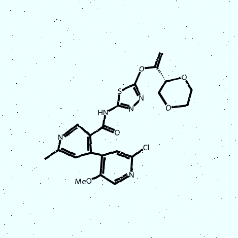 C=C(Oc1nnc(NC(=O)c2cnc(C)cc2-c2cc(Cl)ncc2OC)s1)[C@H]1COCCO1